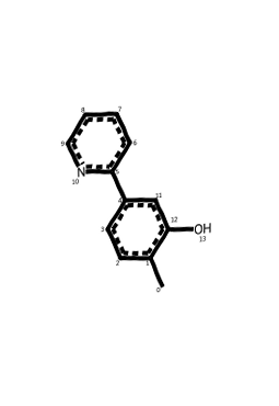 Cc1ccc(-c2ccccn2)cc1O